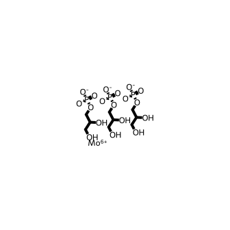 O=P([O-])([O-])OCC(O)CO.O=P([O-])([O-])OCC(O)CO.O=P([O-])([O-])OCC(O)CO.[Mo+6]